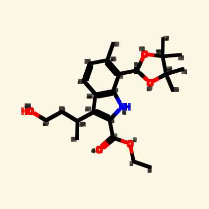 CCOC(=O)c1[nH]c2c(B3OC(C)(C)C(C)(C)O3)c(C)ccc2c1C(C)CCO